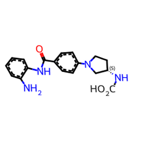 Nc1ccccc1NC(=O)c1ccc(N2CC[C@H](NC(=O)O)C2)cc1